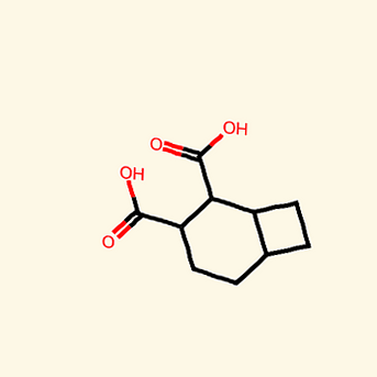 O=C(O)C1CCC2CCC2C1C(=O)O